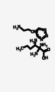 CCCC(N)C(N)(N)C(=O)O.NCCO.c1cnnnc1